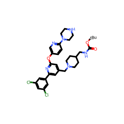 CC(C)(C)OC(=O)NCC1CCN(Cc2cc(Oc3ccc(N4CCNCC4)nc3)nc(-c3cc(Cl)cc(Cl)c3)c2)CC1